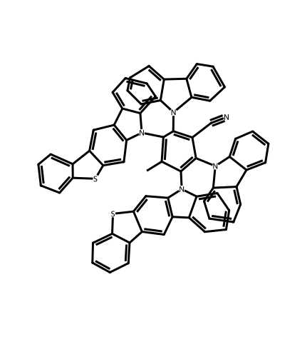 Cc1c(-n2c3ccccc3c3cc4c(cc32)sc2ccccc24)c(-n2c3ccccc3c3ccccc32)c(C#N)c(-n2c3ccccc3c3ccccc32)c1-n1c2ccccc2c2cc3c(cc21)sc1ccccc13